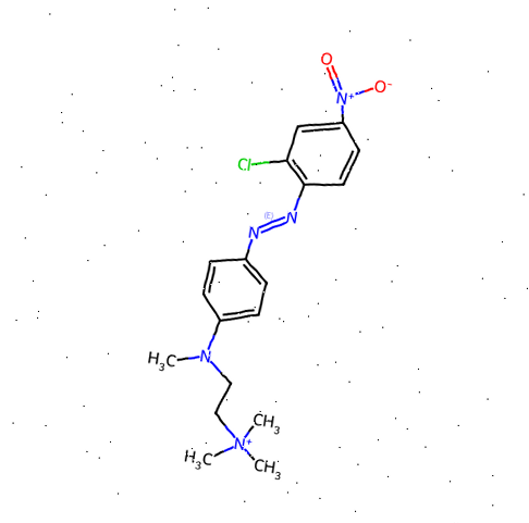 CN(CC[N+](C)(C)C)c1ccc(/N=N/c2ccc([N+](=O)[O-])cc2Cl)cc1